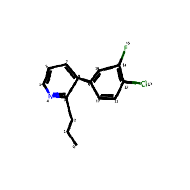 CCCc1ncccc1-c1ccc(Cl)c(F)c1